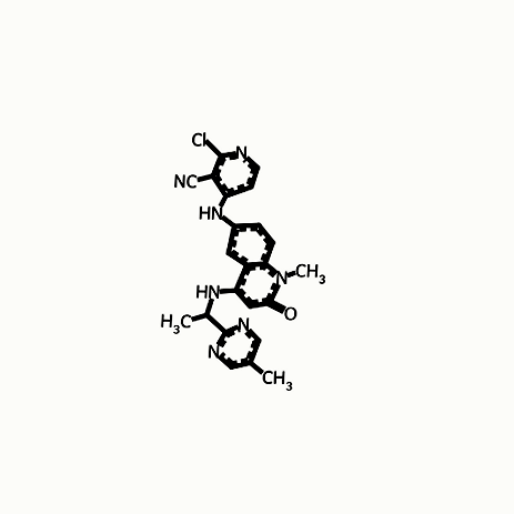 Cc1cnc(C(C)Nc2cc(=O)n(C)c3ccc(Nc4ccnc(Cl)c4C#N)cc23)nc1